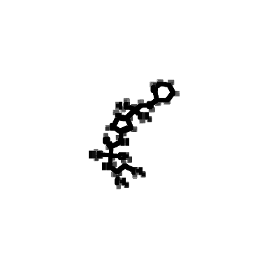 CC[C@H](C)NC(C)(C)C(=O)Nc1cc(C(C)(C)COC2CCCCO2)no1